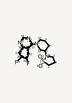 O=S1(=O)CCCN1C1CCCN(c2ncnc3cc(F)c(F)cc23)C1